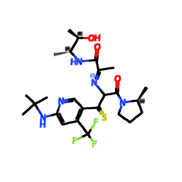 C/C(=N\C(C(=O)N1CCC[C@@H]1C)C(=S)c1cnc(NC(C)(C)C)cc1C(F)(F)F)C(=O)N[C@H](C)[C@@H](C)O